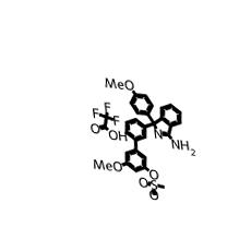 COc1ccc(C2(c3cccc(-c4cc(OC)cc(OS(C)(=O)=O)c4)c3)N=C(N)c3ccccc32)cc1.O=C(O)C(F)(F)F